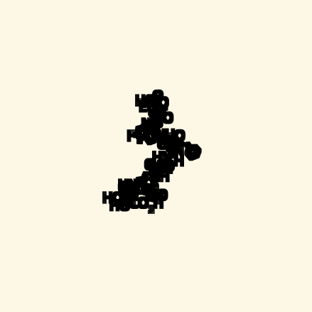 CC[C@@]1(O)C(=O)OCc2c1cc1n(c2=O)Cc2c-1nc1cc(F)c(C)c3c1c2[C@@H](NC(=O)CNC(=O)[C@H](Cc1ccccc1)NC(=O)CNC(=O)CNC(=O)[C@H](CCCC(=O)N[C@H]1O[C@H](C(=O)O)[C@@H](O)[C@H](O)[C@H]1O)NC(=O)CN1C(=O)C=CC1=O)CC3